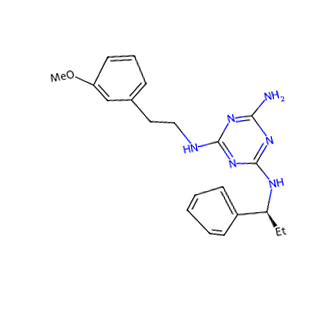 CC[C@H](Nc1nc(N)nc(NCCc2cccc(OC)c2)n1)c1ccccc1